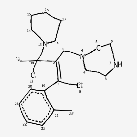 CC/C(=C(\CN1CCNCC1)C(C)(Cl)N1CCCCC1)c1ccccc1C